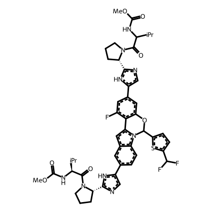 COC(=O)NC(C(=O)N1CCC[C@H]1c1ncc(-c2cc(F)c3c(c2)OC(c2ccc(C(F)F)s2)n2c-3cc3cc(-c4cnc([C@@H]5CCCN5C(=O)[C@@H](NC(=O)OC)C(C)C)[nH]4)ccc32)[nH]1)C(C)C